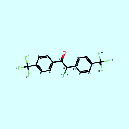 O=C(c1ccc(C(F)(F)F)cc1)C(Cl)c1ccc(C(F)(F)F)cc1